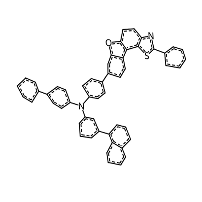 c1ccc(-c2ccc(N(c3ccc(-c4ccc5c(c4)oc4ccc6nc(-c7ccccc7)sc6c45)cc3)c3cccc(-c4cccc5ccccc45)c3)cc2)cc1